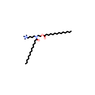 CCCCCCCCCCCCCC(=O)OCCN(CCCC[N+](C)(C)C)C(=O)CCCCCCCCCCCCC